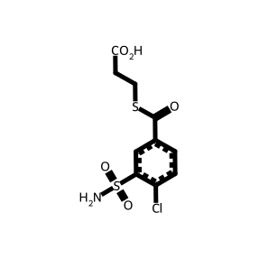 NS(=O)(=O)c1cc(C(=O)SCCC(=O)O)ccc1Cl